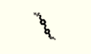 C/C=C/c1ccc(CCc2ccc(CCC)cc2)cc1